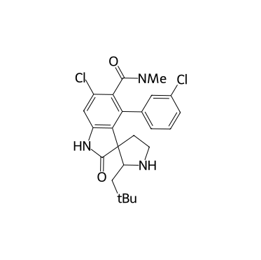 CNC(=O)c1c(Cl)cc2c(c1-c1cccc(Cl)c1)C1(CCNC1CC(C)(C)C)C(=O)N2